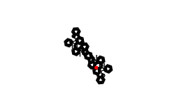 c1ccc(N(c2cccc3c2sc2ccccc23)c2cccc3c2c2cccc4c5cc6c(cc5n3c42)c2cccc3c4c(N(c5ccccc5)c5cccc7c5sc5ccccc57)cccc4n6c23)cc1